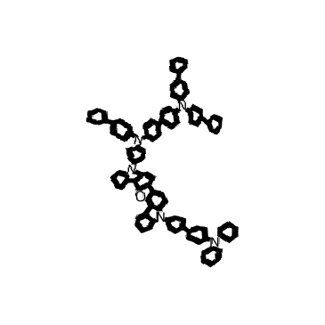 c1ccc(-c2ccc(N(c3ccc(-c4ccccc4)cc3)c3ccc(-c4ccc(N(c5ccc(-c6ccccc6)cc5)c5ccc(-n6c7ccccc7c7c8oc9c(ccc%10c9c9ccccc9n%10-c9ccc(-c%10ccc(N(c%11ccccc%11)c%11ccccc%11)cc%10)cc9)c8ccc76)cc5)cc4)cc3)cc2)cc1